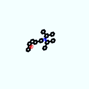 c1ccc(-c2cc(-c3ccccc3)cc(N(c3ccc(-c4ccc5c(ccc6ccc7c8ccccc8oc7c65)c4)cc3)c3cc(-c4ccccc4)cc(-c4ccccc4)c3)c2)cc1